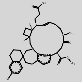 COC(=O)[C@@H]1CC(=O)N(C)CC/C=C/[C@H](OCC(=O)O)[C@@H]2CC[C@H]2CN2C[C@@]3(CCCc4cc(Cl)ccc43)COc3ccc1cc32